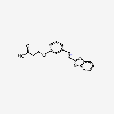 O=C(O)CCOc1cccc(/C=C/c2nc3ccccc3s2)c1